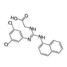 O=C(O)CNC(=Nc1cc(Cl)cc(Cl)c1)Nc1cccc2ccccc12